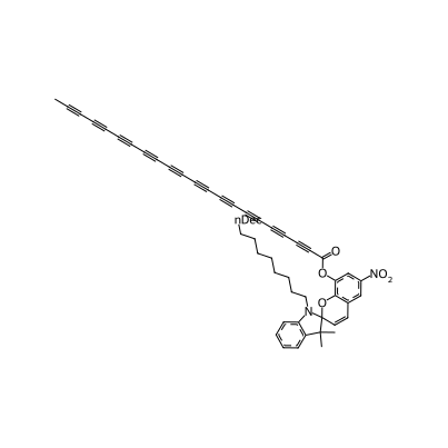 CC#CC#CC#CC#CC#CC#CC#CC#CC#CC#CC(=O)Oc1cc([N+](=O)[O-])cc2c1OC1(C=C2)N(CCCCCCCCCCCCCCCCCC)c2ccccc2C1(C)C